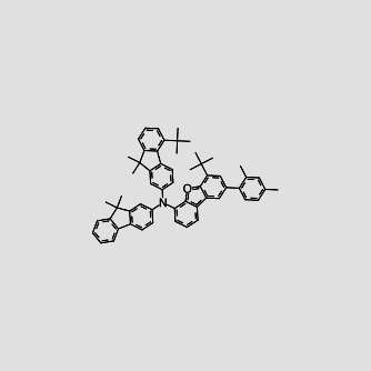 Cc1ccc(-c2cc(C(C)(C)C)c3oc4c(N(c5ccc6c(c5)C(C)(C)c5ccccc5-6)c5ccc6c(c5)C(C)(C)c5cccc(C(C)(C)C)c5-6)cccc4c3c2)c(C)c1